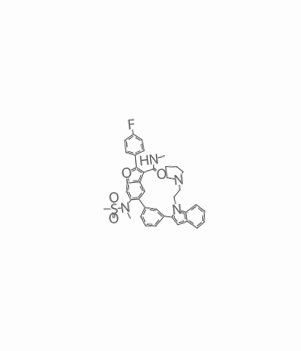 CNC(=O)c1c(-c2ccc(F)cc2)oc2cc(N(C)S(C)(=O)=O)c(-c3cccc(-c4cc5ccccc5n4CCN4CCCC4)c3)cc12